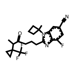 CC(C(=O)CCCc1nc2c(F)cc(C#N)cc2n1C1(C)CCC1)C1(C(F)(F)F)CC1